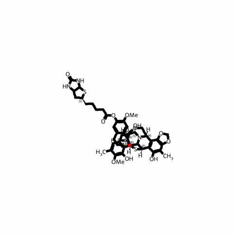 COc1cc2c(cc1OC(=O)CCCC[C@H]1CC3NC(=O)NC3S1)CCN[C@]21CS[C@@H]2c3c(O)c(C)c4c(c3[C@H](COC1=O)N1C2[C@H]2c3c(cc(C)c(OC)c3O)C[C@@H]([C@@H]1O)N2C)OCO4